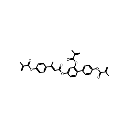 C=C(C)C(=O)Oc1ccc(/C(C)=C/C(=O)Oc2ccc(-c3ccc(OC(=O)C(=C)C)cc3)c(OC(=O)C(=C)C)c2)cc1